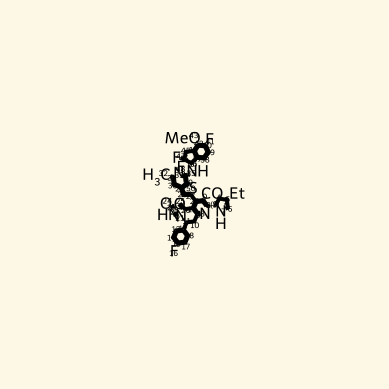 CCOC(=O)c1c([C@@H]2CCCN2)nc(CCc2ccc(F)cc2)c(-c2n[nH]c(=O)o2)c1-c1cc2cc(C)nc(N[C@H]3c4ccc(F)c(OC)c4CC3(F)F)c2s1